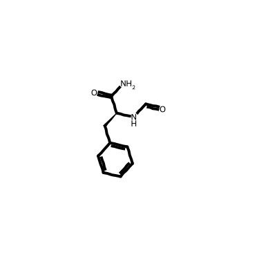 NC(=O)[C@H](Cc1ccccc1)NC=O